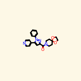 O=C(c1cc(-c2ccncc2)n(-c2ccccc2)n1)N1CCC2(CC1)OCCO2